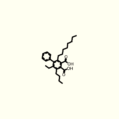 CCCCCCCCc1c(C(=O)O)c(C(=O)O)c(CCCC)c(CC)c1-c1ccccc1